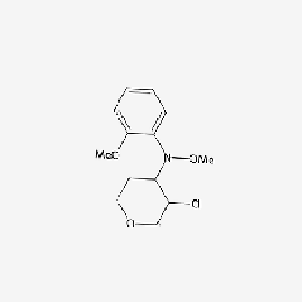 COc1ccccc1N(OC)C1CCO[CH]C1Cl